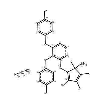 CC1=C(C)C(C)([SiH3])[C]([Ti][c]2cccc(Cc3ccc(C)cc3)c2Cc2ccc(C)cc2)=C1C.Cl.Cl.Cl